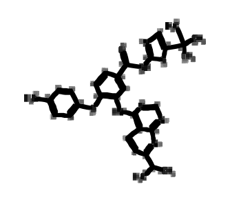 CC(C)c1ccc2c(Nc3cc(C(=O)Nc4ncc(C(C)(C)C)s4)ccc3Sc3ccc(N)cc3)ncnc2n1